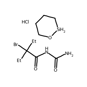 C1CC[SiH2]OC1.CCC(Br)(CC)C(=O)NC(N)=O.Cl